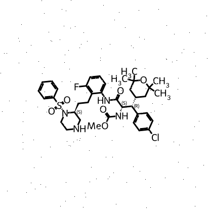 COC(=O)N[C@H](C(=O)Nc1cccc(F)c1CC[C@H]1CNCCN1S(=O)(=O)c1ccccc1)[C@@H](c1ccc(Cl)cc1)C1CC(C)(C)OC(C)(C)C1